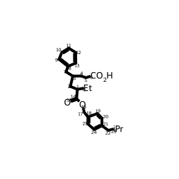 CCC(CC(CCC(=O)O)Cc1ccccc1)C(=O)OCc1ccc(CC(C)C)cc1